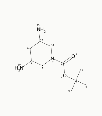 CC(C)(C)OC(=O)N1CC(N)CC(N)C1